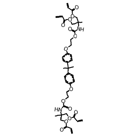 C=CC(=O)OCC(C)(COC(=O)C=C)NC(=O)OCCOc1ccc(C(C)(C)c2ccc(OCCOC(=O)NC(C)(COC(=O)C=C)COC(=O)C=C)cc2)cc1